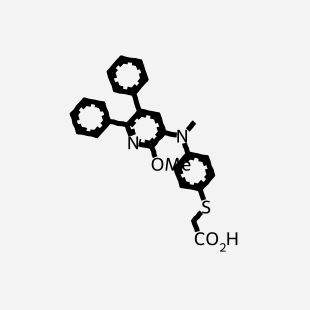 COc1nc(-c2ccccc2)c(-c2ccccc2)cc1N(C)c1ccc(SCC(=O)O)cc1